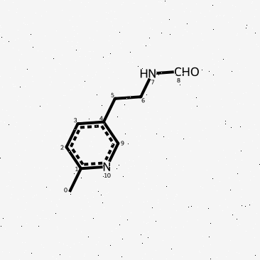 Cc1ccc(CCNC=O)cn1